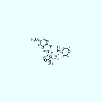 CC[S+]([O-])[C@]1(C(=O)N2CCc3ccc(C(F)(F)F)cc3C2)CC[C@@H](NC2CCOCC2)C1